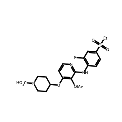 CCS(=O)(=O)c1ccc(Nc2nccc(OC3CCN(C(=O)O)CC3)c2OC)c(F)c1